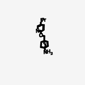 CC(C)c1ccc(OCC23CCC(N)(CC2)CC3)nc1